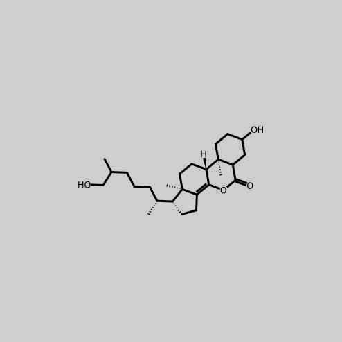 CC(CO)CCC[C@@H](C)[C@H]1CCC2=C3OC(=O)C4CC(O)CC[C@]4(C)[C@H]3CC[C@@]21C